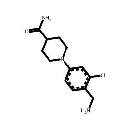 NCc1ccc(N2CCC(C(N)=O)CC2)cc1Cl